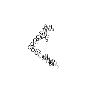 [BiH3].[BiH3].[CaH2].[CaH2].[O-2].[O-2].[O-2].[O-2].[O-2].[SrH2].[SrH2].[Ta+5].[Ta+5]